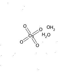 O.O.[O]=[Os](=[O])(=[O])=[O]